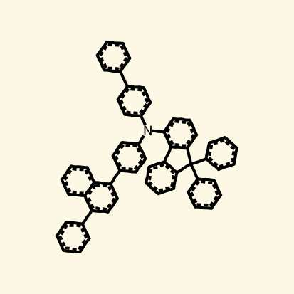 c1ccc(-c2ccc(N(c3ccc(-c4ccc(-c5ccccc5)c5ccccc45)cc3)c3cccc4c3-c3ccccc3C4(c3ccccc3)c3ccccc3)cc2)cc1